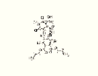 C=CCOC(=O)c1c(Br)c(Br)c(Br)c(Br)c1C(=O)OCC=C.O=C(O)c1c(Cl)c(Cl)c(Cl)c(Cl)c1C(=O)O